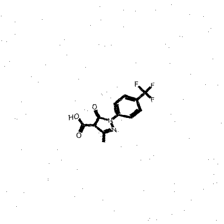 CC1=NN(c2ccc(C(F)(F)F)cc2)C(=O)C1C(=O)O